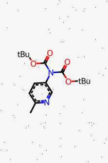 Cc1ccc(N(C(=O)OC(C)(C)C)C(=O)OC(C)(C)C)cn1